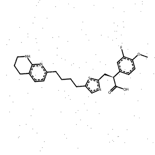 COc1ccc([C@H](Cc2ncc(CCCCc3ccc4c(n3)NCCC4)s2)C(=O)O)cc1F